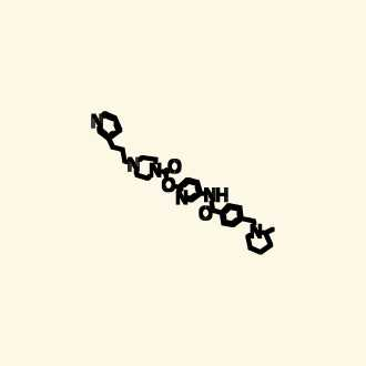 CC1CCCCN1Cc1ccc(C(=O)Nc2ccc(OC(=O)N3CCN(CCCc4cccnc4)CC3)nc2)cc1